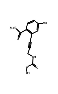 COC(=O)c1ccc(O)cc1C#CCNC(=O)OC(C)(C)C